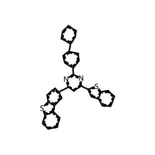 c1ccc(-c2ccc(-c3nc(-c4ccc5sc6ccccc6c5c4)cc(-c4cc5ccccc5s4)n3)cc2)cc1